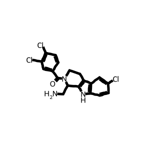 NCC1c2[nH]c3ccc(Cl)cc3c2CCN1C(=O)c1ccc(Cl)c(Cl)c1